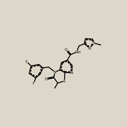 CC1Sc2ncc(C(=O)NCc3ccn(C)n3)cc2N(Cc2cc(F)cc(F)c2)C1=O